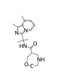 Cc1cccn2c(C(C)(C)NC(=O)C3CNCCOC3)nc(C)c12